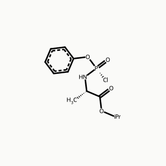 CC(C)OC(=O)[C@H](C)N[P@@](=O)(Cl)Oc1ccccc1